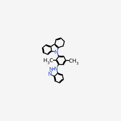 Cc1cc(-n2nnc3ccccc32)c(C)c(-n2c3c(c4ccccc42)C=CCC3)c1